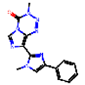 Cn1cc(-c2ccccc2)nc1-c1ncn2c(=O)n(C)nnc12